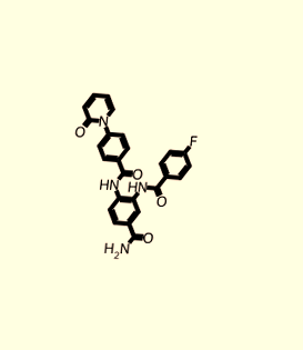 NC(=O)c1ccc(NC(=O)c2ccc(-n3ccccc3=O)cc2)c(NC(=O)c2ccc(F)cc2)c1